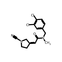 CN(Cc1ccc(Cl)c(Cl)c1)C(=O)C=C1CCN(C#N)C1